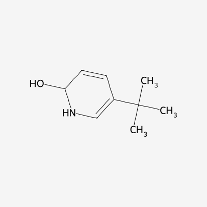 CC(C)(C)C1=CNC(O)C=C1